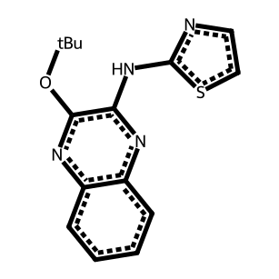 CC(C)(C)Oc1nc2ccccc2nc1Nc1nccs1